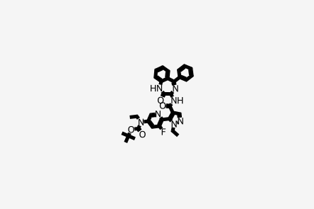 CCN(C(=O)OC(C)(C)C)c1cnc(-c2c(C(=O)NC3N=C(c4ccccc4)c4ccccc4NC3=O)cnn2CC)c(F)c1